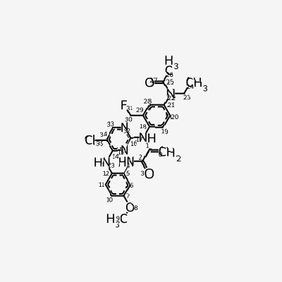 C=CC(=O)Nc1cc(OC)ccc1Nc1nc(Nc2ccc(N(CC)C(C)=O)cc2CF)ncc1Cl